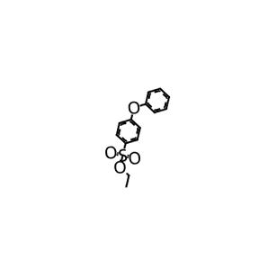 CCOS(=O)(=O)c1ccc(Oc2ccccc2)cc1